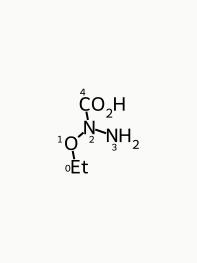 CCON(N)C(=O)O